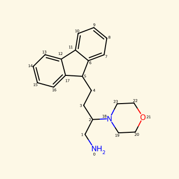 NCC(CCC1c2ccccc2-c2ccccc21)N1CCOCC1